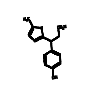 Cc1ccc(C(CC(=O)O)c2ccc(O)cc2)s1